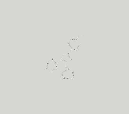 Cc1ccc(-c2nc(-c3ccccc3)c(-c3ccccc3)o2)cc1